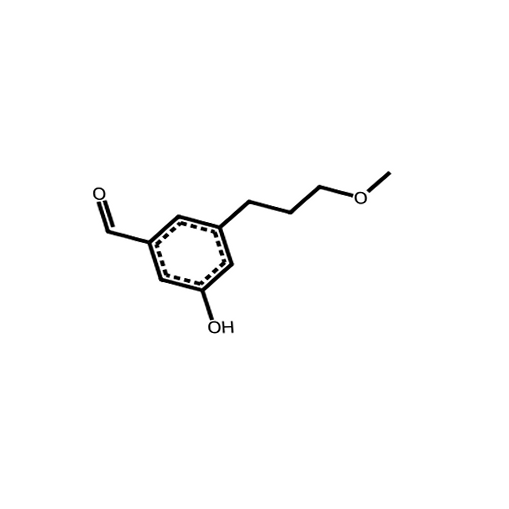 COCCCc1cc(O)cc(C=O)c1